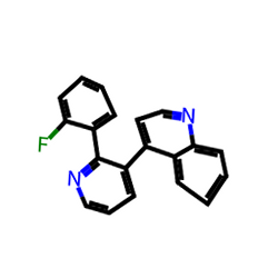 Fc1ccccc1-c1ncccc1-c1ccnc2ccccc12